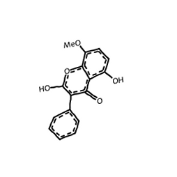 COc1ccc(O)c2c(=O)c(-c3ccccc3)c(O)oc12